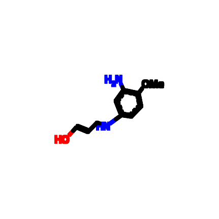 COc1ccc(NCC=CO)cc1N